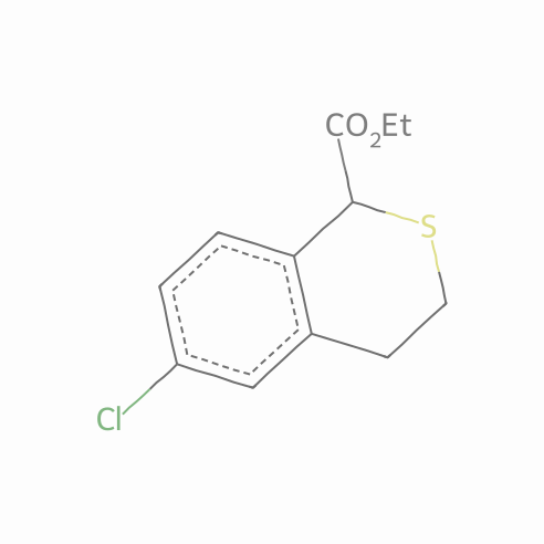 CCOC(=O)C1SCCc2cc(Cl)ccc21